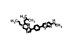 CCCN(Cc1ncc(-c2ccc(-c3cn4cc(NC)nc4s3)cc2)[nH]1)C(=O)CC(C)C